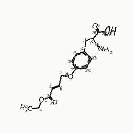 CCOC(=O)CCCOc1ccc(C[C@H](N)C(=O)O)cc1